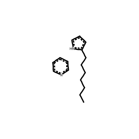 CCCCCCCc1ccc[nH]1.c1ccncc1